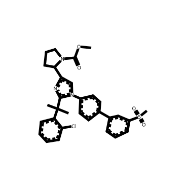 COC(=O)N1CCCC1c1cn(-c2ccc(-c3cccc(S(C)(=O)=O)c3)cc2)c(C(C)(C)c2ccccc2Cl)n1